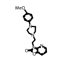 COc1ccc(N2CCN(CCn3c(=O)oc4cccnc43)CC2)cc1